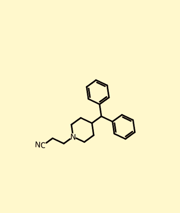 N#CCCN1CCC(C(c2ccccc2)c2ccccc2)CC1